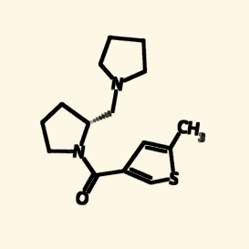 Cc1cc(C(=O)N2CCC[C@@H]2CN2CCCC2)cs1